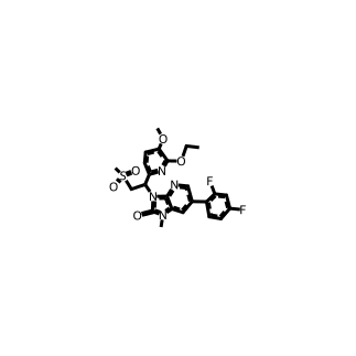 CCOc1nc(C(CS(C)(=O)=O)n2c(=O)n(C)c3cc(-c4ccc(F)cc4F)cnc32)ccc1OC